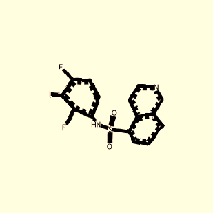 O=S(=O)(Nc1ccc(F)c(I)c1F)c1cccc2cnccc12